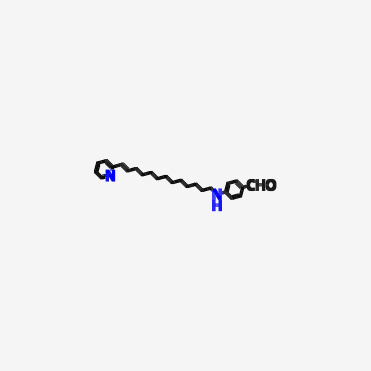 O=Cc1ccc(NCCCCCCCCCCCC=Cc2ccccn2)cc1